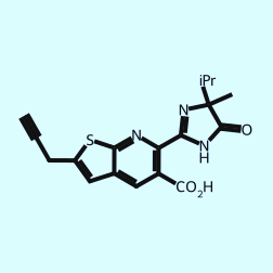 C#CCc1cc2cc(C(=O)O)c(C3=NC(C)(C(C)C)C(=O)N3)nc2s1